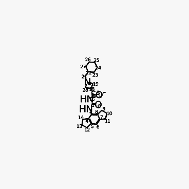 O=C(Nc1c2c(cc3c1CCC3)CCC2)N[S+]([O-])C1CN(CC2CCCCC2)C1